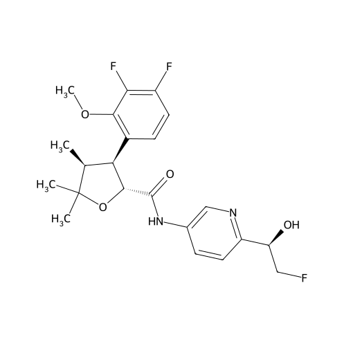 COc1c([C@H]2[C@H](C(=O)Nc3ccc([C@@H](O)CF)nc3)OC(C)(C)[C@H]2C)ccc(F)c1F